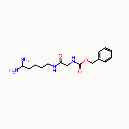 NC(N)CCCCNC(=O)CNC(=O)OCc1ccccc1